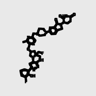 Cc1nc(CN2CCN(c3ccc4c(c3)C(=O)N(C3CCC(=O)NC3=O)C4)CC2)cnc1OC1CN2c3cc(-c4cccc(F)c4O)nnc3NCC2(CF)C1